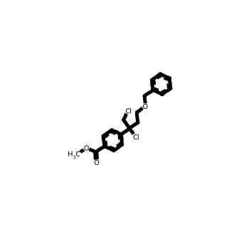 COC(=O)c1ccc(C(Cl)(CCl)CCOCc2ccccc2)cc1